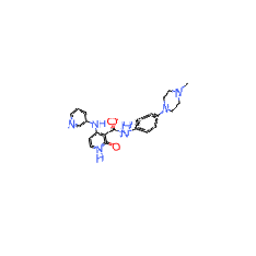 CN1CCN(c2ccc(NC(=O)c3c(Nc4cccnc4)cc[nH]c3=O)cc2)CC1